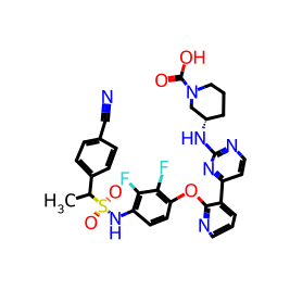 CC(c1ccc(C#N)cc1)S(=O)(=O)Nc1ccc(Oc2ncccc2-c2ccnc(N[C@H]3CCCN(C(=O)O)C3)n2)c(F)c1F